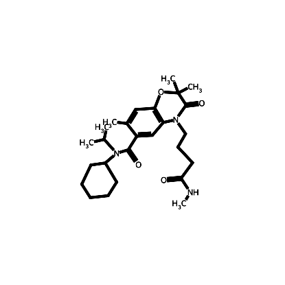 CNC(=O)CCCN1C(=O)C(C)(C)Oc2cc(C)c(C(=O)N(C(C)C)C3CCCCC3)cc21